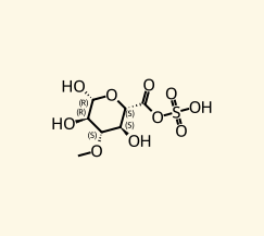 CO[C@@H]1[C@@H](O)[C@H](O)O[C@H](C(=O)OS(=O)(=O)O)[C@H]1O